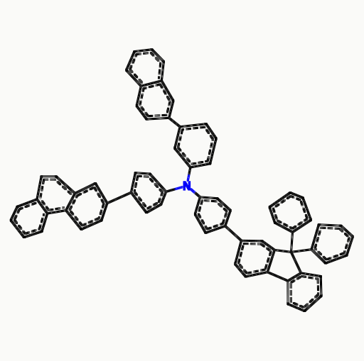 c1ccc(C2(c3ccccc3)c3ccccc3-c3ccc(-c4ccc(N(c5ccc(-c6ccc7c(ccc8ccccc87)c6)cc5)c5cccc(-c6ccc7ccccc7c6)c5)cc4)cc32)cc1